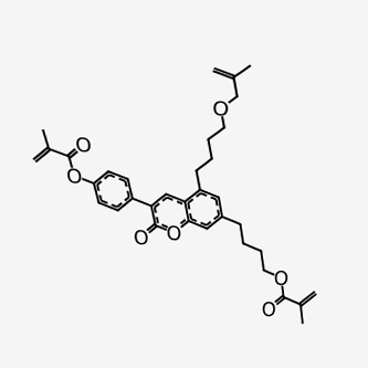 C=C(C)COCCCCc1cc(CCCCOC(=O)C(=C)C)cc2oc(=O)c(-c3ccc(OC(=O)C(=C)C)cc3)cc12